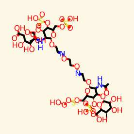 CC(=O)NC1C(O[C@H]2OC(C(=O)O)[C@H](C)C(O)C2O)[C@H](OS(=O)(=O)O)C(COSOOO)O[C@@H]1OC/C=N/OCCO/N=C/CO[C@@H]1OC(COS(=O)(=O)O)[C@H](OS(=O)(=O)O)[C@H](O[C@@H]2OC(C(=O)O)[C@@H](O)[C@H](O)C2O)C1NC(C)=O